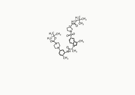 Cc1ccc(N2CCN(C(=O)OC(C)(C)C)CC2)cc1NC(=O)C(C)n1cc(C)c2cc(S(=O)(=O)N3CC[C@@H](NC(=O)OC(C)(C)C)C3)ccc21